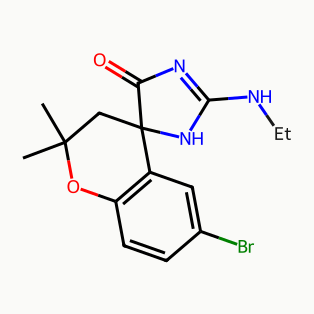 CCNC1=NC(=O)C2(CC(C)(C)Oc3ccc(Br)cc32)N1